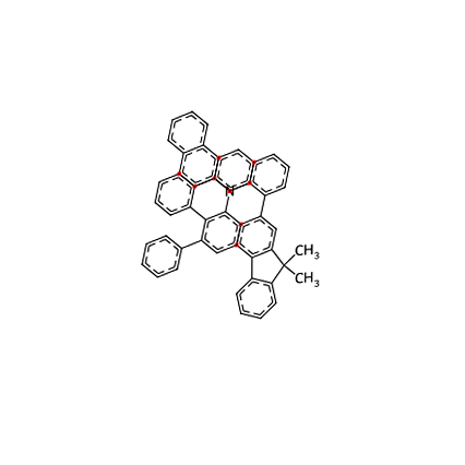 CC1(C)c2ccccc2-c2ccc(-c3ccccc3N(c3ccc4ccccc4c3)c3cccc(-c4ccccc4)c3-c3ccccc3-c3ccccc3)cc21